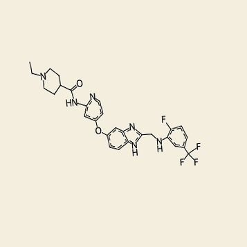 CCN1CCC(C(=O)Nc2cc(Oc3ccc4[nH]c(CNc5cc(C(F)(F)F)ccc5F)nc4c3)ccn2)CC1